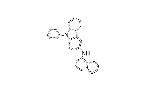 C1=CC2c3cc(Nc4cccc5ccccc45)ccc3N(c3ccccc3)C2C=C1